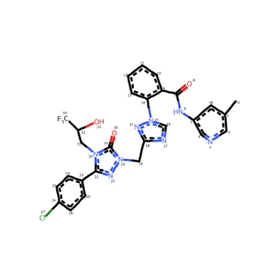 Cc1cncc(NC(=O)c2ccccc2-n2cnc(Cn3nc(-c4ccc(Cl)cc4)n(CC(O)C(F)(F)F)c3=O)n2)c1